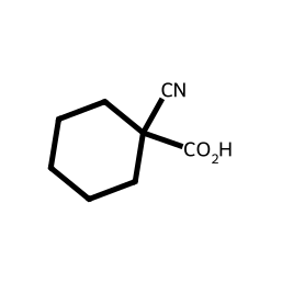 N#CC1(C(=O)O)CCCCC1